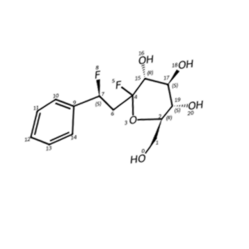 OC[C@H]1OC(F)(C[C@H](F)c2ccccc2)[C@H](O)[C@@H](O)[C@@H]1O